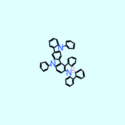 c1ccc(-n2c3ccccc3c3cc4c(cc32)c2c3c(ccc2n4-c2ccccc2)N2B(c4ccccc4-c4ccccc42)c2ccccc2-3)cc1